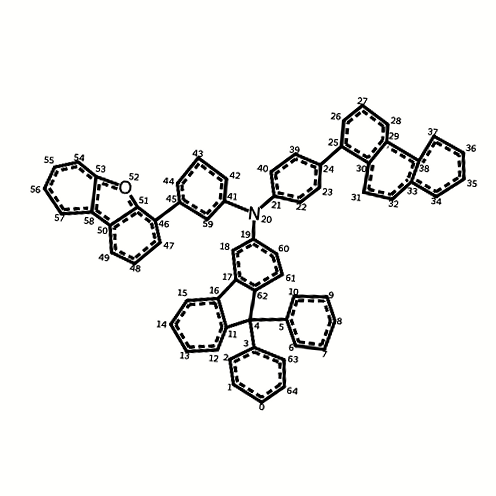 c1ccc(C2(c3ccccc3)c3ccccc3-c3cc(N(c4ccc(-c5cccc6c5ccc5ccccc56)cc4)c4cccc(-c5cccc6c5oc5ccccc56)c4)ccc32)cc1